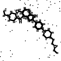 CCOCCC1CCN(c2ccc(-c3nc4c(NC5CCN(CC)CC5)c(Cl)cnc4[nH]3)cc2)CC1